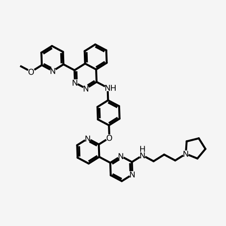 COc1cccc(-c2nnc(Nc3ccc(Oc4ncccc4-c4ccnc(NCCCN5CCCC5)n4)cc3)c3ccccc23)n1